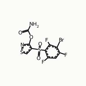 NC(=O)Oc1nscc1S(=O)(=O)c1c(F)cc(F)c(Br)c1F